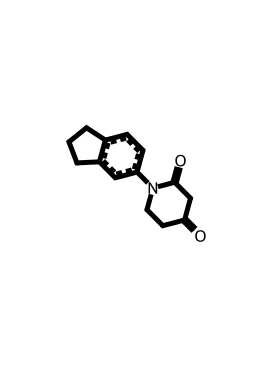 O=C1CCN(c2ccc3c(c2)CCC3)C(=O)C1